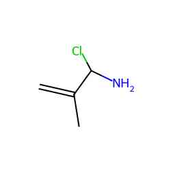 C=C(C)C(N)Cl